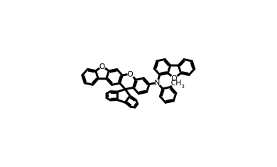 Cc1ccccc1N(c1ccc2c(c1)Oc1cc3oc4ccccc4c3cc1C21c2ccccc2-c2ccccc21)c1cccc2c1oc1ccccc12